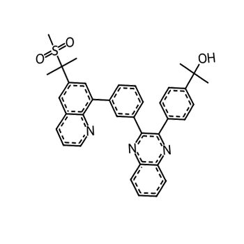 CC(C)(O)c1ccc(-c2nc3ccccc3nc2-c2cccc(-c3cc(C(C)(C)S(C)(=O)=O)cc4cccnc34)c2)cc1